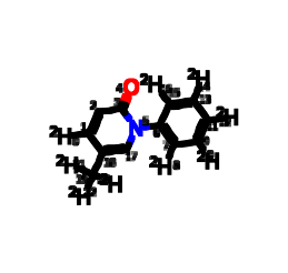 [2H]c1cc(=O)n(-c2c([2H])c([2H])c([2H])c([2H])c2[2H])cc1C([2H])([2H])[2H]